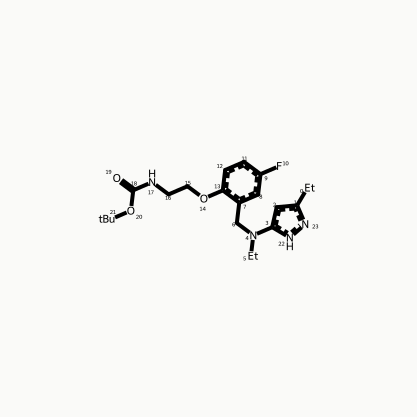 CCc1cc(N(CC)Cc2cc(F)ccc2OCCNC(=O)OC(C)(C)C)[nH]n1